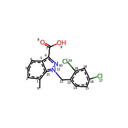 Cc1cccc2c(C(=O)O)nn(Cc3ccc(Cl)cc3Cl)c12